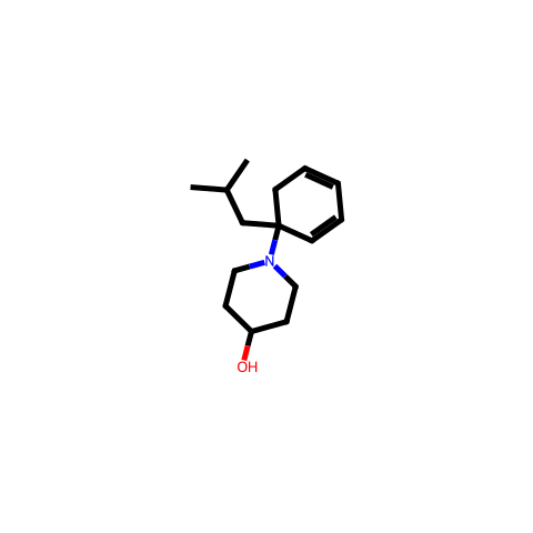 CC(C)CC1(N2CCC(O)CC2)C=CC=CC1